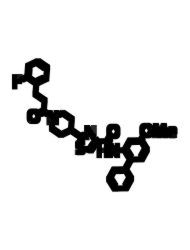 COc1ccc(-c2ccccc2)c(NC(=O)c2csc(C3CCN(C(=O)CCc4ccccc4F)CC3)n2)c1